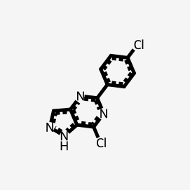 Clc1ccc(-c2nc(Cl)c3[nH]ncc3n2)cc1